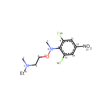 CCN(C)CCON(C)c1c(F)cc([N+](=O)[O-])cc1F